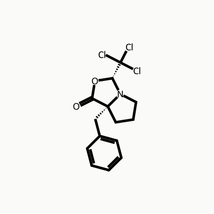 O=C1O[C@H](C(Cl)(Cl)Cl)N2CCC[C@@]12Cc1ccccc1